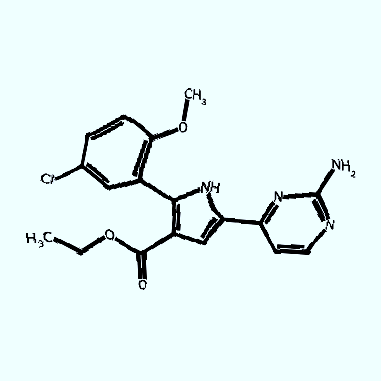 CCOC(=O)c1cc(-c2ccnc(N)n2)[nH]c1-c1cc(Cl)ccc1OC